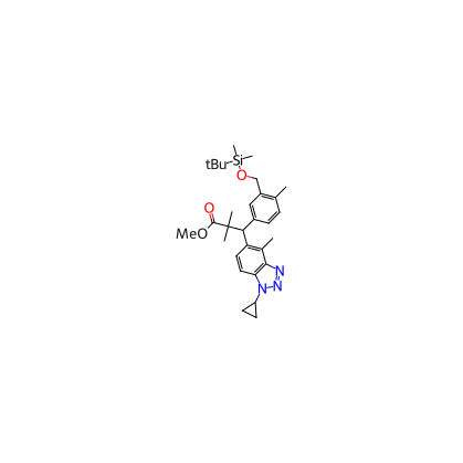 COC(=O)C(C)(C)C(c1ccc(C)c(CO[Si](C)(C)C(C)(C)C)c1)c1ccc2c(nnn2C2CC2)c1C